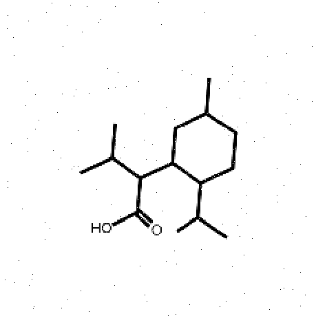 CC1CCC(C(C)C)C(C(C(=O)O)C(C)C)C1